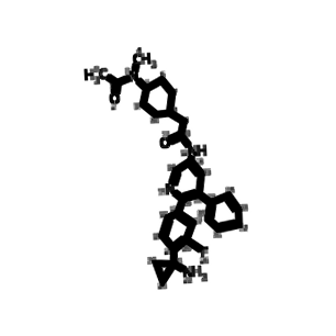 CC(=O)N(C)C1CCC(CC(=O)Nc2cnc(-c3ccc(C4(N)CC4)c(F)c3)c(-c3ccccc3)c2)CC1